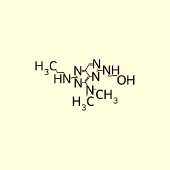 CCCNc1nc(N(CC)CC)c2nc(NCCO)ncc2n1